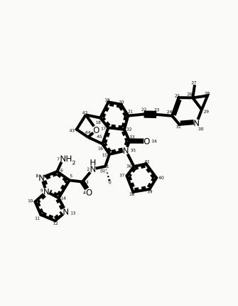 C[C@H](NC(=O)c1c(N)nn2cccnc12)c1c2c3c(ccc(C#CC4=CC5(C)CC5N=C4)c3c(=O)n1-c1ccccc1)C1CC2O1